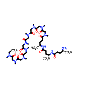 CN(CC(=O)O)C(=O)CN(C)C(=O)CN(C)C(=O)CN(C)C(=O)CN(C)C(=O)CN(C)C(=O)CN(C)C(=O)CN(C)C(=O)CN(C)C(=O)CC[C@H](NC(=O)CC[C@H](NC(=O)CC[C@H](N)C(=O)O)C(=O)O)C(=O)O